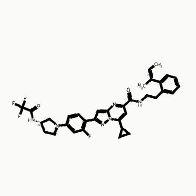 C/C=C(/C)c1ccccc1CCNC(=O)c1cc(C2CC2)n2nc(-c3ccc(N4CC[C@H](NC(=O)C(F)(F)F)C4)cc3F)cc2n1